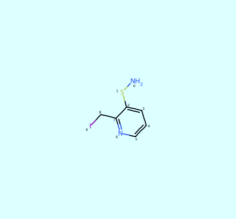 NSc1cccnc1CI